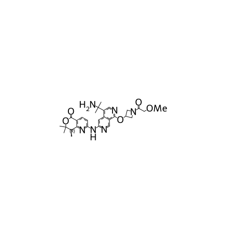 COCC(=O)N1CC(Oc2ncc(C(C)(C)N)c3cc(Nc4ccc5c(n4)[C@@H](C)C(C)(C)OC5=O)ncc23)C1